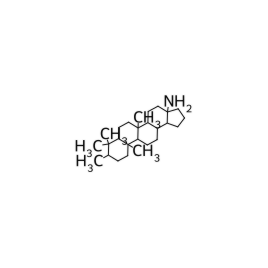 CC1CCC2(C)C(CCC3(C)C4CCC5(N)CCCC5C4CCC32)C1(C)C